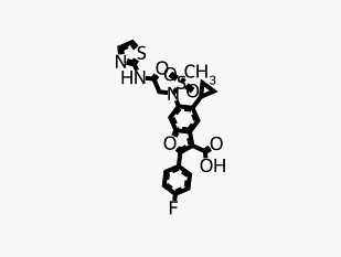 CS(=O)(=O)N(CC(=O)Nc1nccs1)c1cc2oc(-c3ccc(F)cc3)c(C(=O)O)c2cc1C1CC1